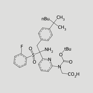 CCCCC(C)(C)c1ccc(CC(N)(c2cccc(N(CC(=O)O)C(=O)OC(C)(C)C)n2)S(=O)(=O)c2ccccc2F)cc1